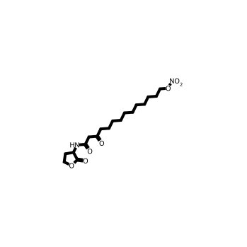 O=C(CCCCCCCCCCCO[N+](=O)[O-])CC(=O)NC1CCOC1=O